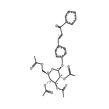 CC(=O)OC[C@H]1O[C@@H](Oc2ccc(/C=C/C(=O)c3ccccc3)cc2)[C@H](OC(C)=O)[C@@H](OC(C)=O)[C@@H]1OC(C)=O